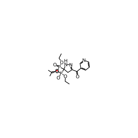 CCOP(=O)(OCC)C1(P(=O)(OCC)OCC)CC(C(=O)c2cccnc2)=NN1